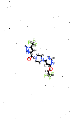 Cn1nc(C(=O)N2CCN(c3cc(OCC(F)(F)F)ncn3)CC2)cc1C(F)(F)F